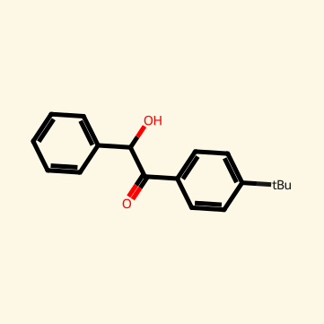 CC(C)(C)c1ccc(C(=O)C(O)c2ccccc2)cc1